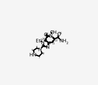 CCn1c(N2CCNCC2)nc2cc(C(N)=O)n(C)c(=O)c21